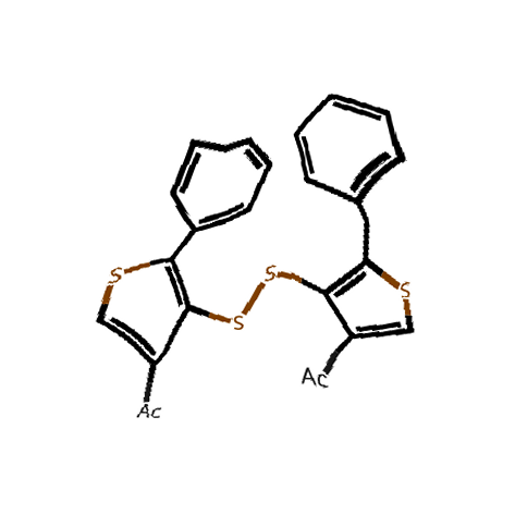 CC(=O)c1csc(-c2ccccc2)c1SSc1c(C(C)=O)csc1-c1ccccc1